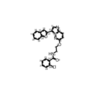 O=C(NCCOc1ccc2ncc(-c3cc4ccccc4o3)n2n1)c1ccccc1Cl